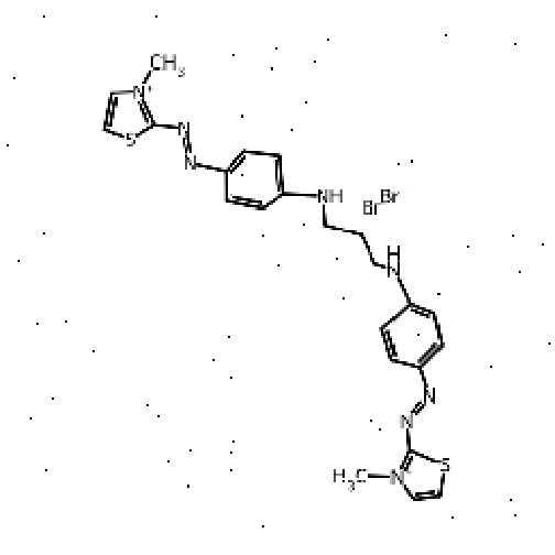 C[n+]1ccsc1N=Nc1ccc(NCCCNc2ccc(N=Nc3scc[n+]3C)cc2)cc1.[Br-].[Br-]